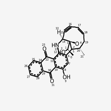 C[C@@H](O)[C@@]12O[C@]13c1cc(O)c4c(c1N[C@H]2C#C/C=C\C[C@@H]3C)C(=O)c1ccccc1C4=O